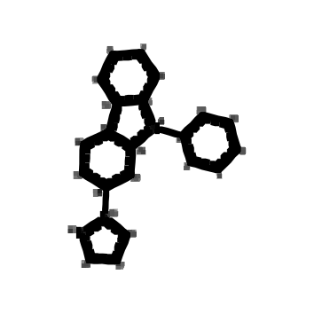 c1ccc(-n2c3ccccc3c3ccc(-n4cccn4)cc32)cc1